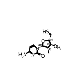 C[C@@H]1[C@H](O)[C@@H](CS)O[C@H]1n1ccc(N)nc1=O